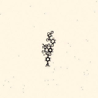 Cc1nc(C(=O)N[C@@H](C)[C@H](Oc2ccc(C(=O)O[C@H]3CCCN(C(=O)[C@H]4COC(=O)C4)C3)cc2)c2ccc(C3CC3)cc2)no1